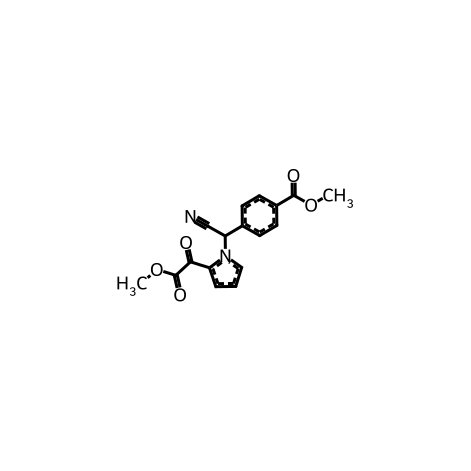 COC(=O)C(=O)c1cccn1C(C#N)c1ccc(C(=O)OC)cc1